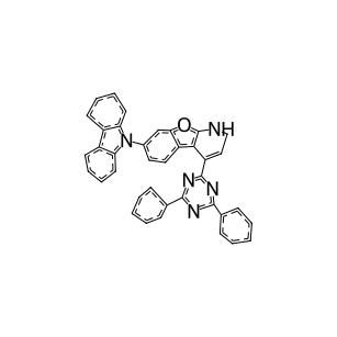 C1=C(c2nc(-c3ccccc3)nc(-c3ccccc3)n2)c2c(oc3cc(-n4c5ccccc5c5ccccc54)ccc23)NC1